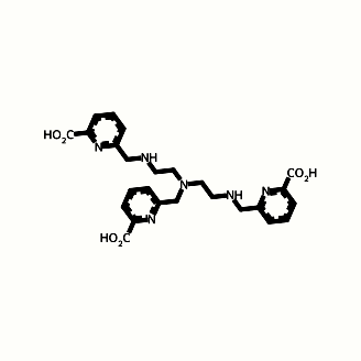 O=C(O)c1cccc(CNCCN(CCNCc2cccc(C(=O)O)n2)Cc2cccc(C(=O)O)n2)n1